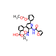 COCOc1ccccc1-c1cc(-c2cccc(C(=O)O)c2OC)c(C#N)c(NC(=O)c2ccco2)n1